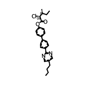 CCCCc1cnc(-c2ccc(-c3ccc(OC(=O)[C@@H](Cl)[C@@H](C)CC)cc3)cc2)nc1